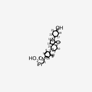 CC(C)CN(C(=O)O)c1ccc(N2CCC[C@]3(CCN(C4CCC(O)CC4)C3=O)C2)c(F)c1